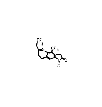 O=C1Cc2c(cc3c(c2C(F)(F)F)N=C(CC(F)(F)F)CC3)N1